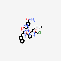 NC(=O)c1ccc(CC(NC(=O)C(Cc2ccc3ccccc3c2)NC(=O)[C@@H]2CCCCN2C(=O)C(CCC(=O)O)NC(=O)CCl)C(N)=O)cc1